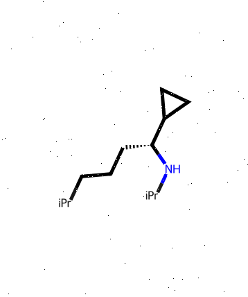 CC(C)CCC[C@@H](NC(C)C)C1CC1